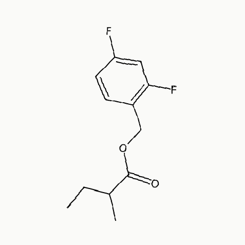 CCC(C)C(=O)OCc1ccc(F)cc1F